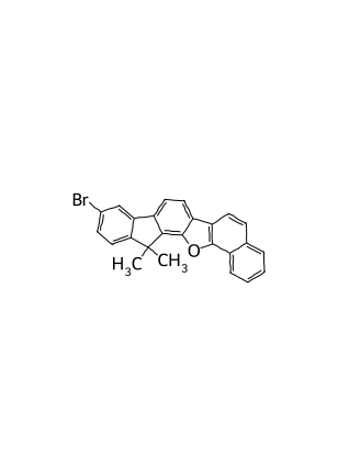 CC1(C)c2ccc(Br)cc2-c2ccc3c(oc4c5ccccc5ccc34)c21